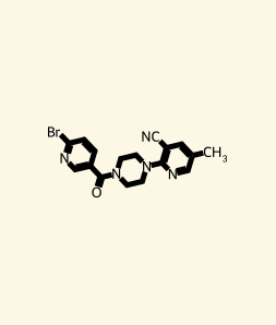 Cc1cnc(N2CCN(C(=O)c3ccc(Br)nc3)CC2)c(C#N)c1